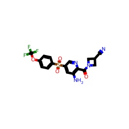 N#CC1CN(C(=O)c2ncc(S(=O)(=O)c3ccc(OC(F)(F)F)cc3)cc2N)C1